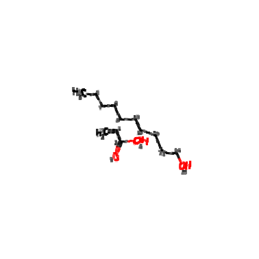 C=CC(=O)O.CCCCCCCCCCO